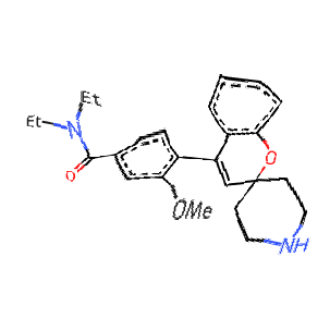 CCN(CC)C(=O)c1ccc(C2=CC3(CCNCC3)Oc3ccccc32)c(OC)c1